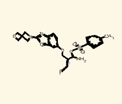 Cc1ccc(S(=O)(=O)OC(N)/C(=C/F)COc2ccc3nc(N4CC5(COC5)C4)oc3c2)cc1